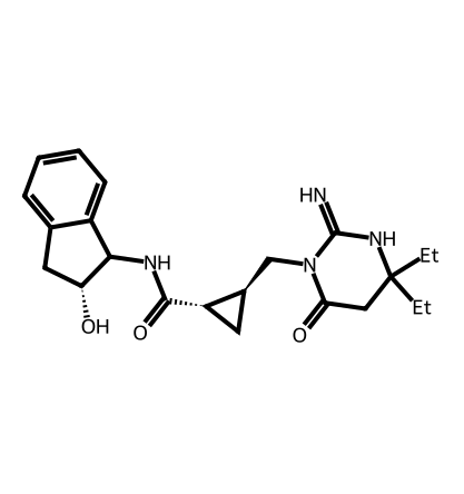 CCC1(CC)CC(=O)N(C[C@H]2C[C@@H]2C(=O)NC2c3ccccc3C[C@H]2O)C(=N)N1